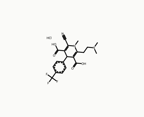 CN(C)CCC1=C(C(=O)O)C(c2ccc(C(F)(F)F)cc2)C(C(=O)O)=C(C#N)N1C.Cl